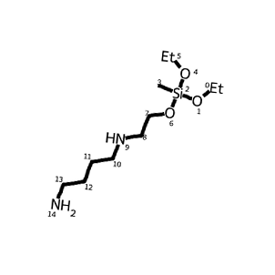 CCO[Si](C)(OCC)OCCNCCCCN